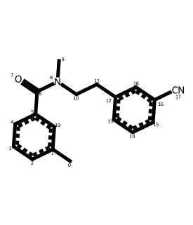 Cc1cccc(C(=O)N(C)CCc2cccc(C#N)c2)c1